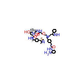 Cc1ncsc1-c1ccc([C@H](C)NC(=O)[C@@H]2C[C@@H](O)CN2C(=O)[C@@H](NC(=O)CCOCCN(CCc2c[nH]c3ccccc23)Cc2ccc(/C=C/C(=O)Nc3ccccc3N)cc2)C(C)(C)C)cc1